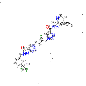 O=C(NCc1cccc(C(F)(F)I)c1)c1cn(CCC(F)Cn2cc(C(=O)NCc3cc(C(F)(F)F)ccn3)nn2)nn1